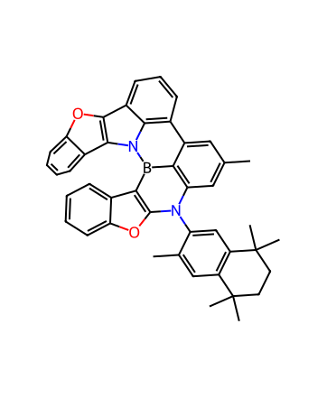 Cc1cc2c3c(c1)N(c1cc4c(cc1C)C(C)(C)CCC4(C)C)c1oc4ccccc4c1B3n1c3c-2cccc3c2oc3ccccc3c21